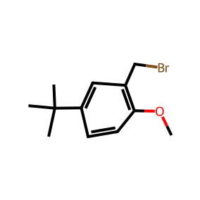 COc1ccc(C(C)(C)C)cc1CBr